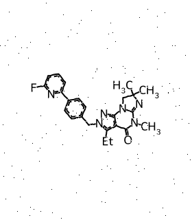 CCc1c2c(nn1Cc1ccc(-c3cccc(F)n3)cc1)N1CC(C)(C)N=C1N(C)C2=O